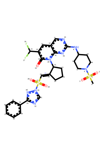 CS(=O)(=O)N1CCC(Nc2ncc3cc(C(F)F)c(=O)n(C4CCC/C4=C\S(=O)(=O)n4cnc(-c5ccccc5)n4)c3n2)CC1